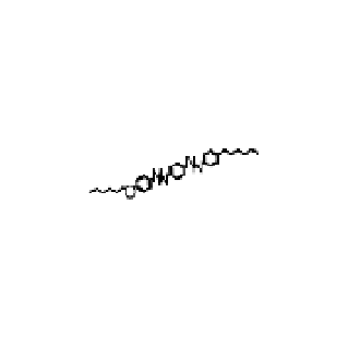 CCCCCCOc1ccc(N=Nc2ccc(N=Nc3ccc(CCCCCC)cc3)cc2)cc1